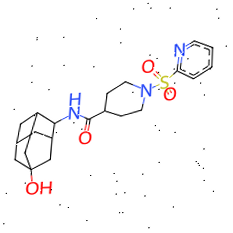 O=C(NC1C2CC3CC1CC(O)(C3)C2)C1CCN(S(=O)(=O)c2ccccn2)CC1